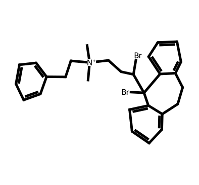 C[N+](C)(CCc1ccccc1)CCC(Br)C1(Br)c2ccccc2CCc2ccccc21